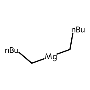 CCCC[CH2][Mg][CH2]CCCC